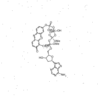 COP(=O)(Oc1ccc2nc3ccc(=O)c(C(=O)O)c-3oc2c1)OP(=O)(O)OP(=O)(OC)OP(=O)(OC)OC[C@H]1O[C@@H](n2cnc3c(N)ncnc32)CC1O